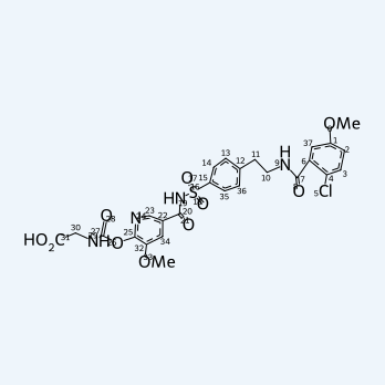 COc1ccc(Cl)c(C(=O)NCCc2ccc(S(=O)(=O)NC(=O)c3cnc(OC(=O)NCC(=O)O)c(OC)c3)cc2)c1